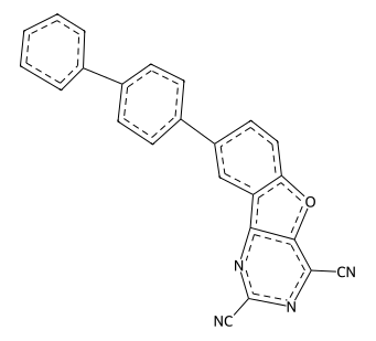 N#Cc1nc(C#N)c2oc3ccc(-c4ccc(-c5ccccc5)cc4)cc3c2n1